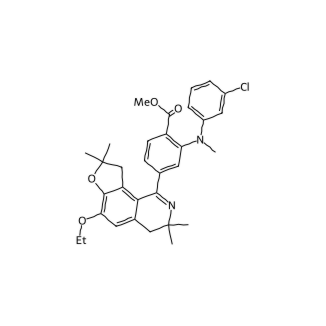 CCOc1cc2c(c3c1OC(C)(C)C3)C(c1ccc(C(=O)OC)c(N(C)c3cccc(Cl)c3)c1)=NC(C)(C)C2